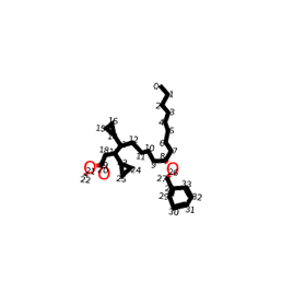 CCCCCCCCC(CCCCC(C1CC1)C(CC(=O)OC)C1CC1)OCc1ccccc1